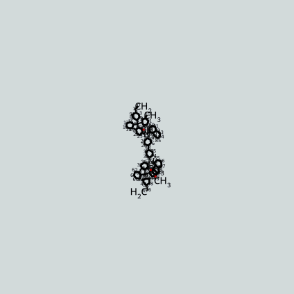 C=Cc1ccc(C2(c3cc(C)ccc3C)c3ccccc3-c3ccc(N(c4ccc(-c5ccc(N(c6ccc7c(c6)[C@](c6ccc(C=C)cc6)(c6cc(C)ccc6C)c6ccccc6-7)c6cccc7ccccc67)cc5)cc4)c4cccc5ccccc45)cc32)cc1